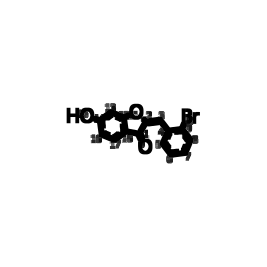 O=C1C(=Cc2ccccc2Br)Oc2cc(O)ccc21